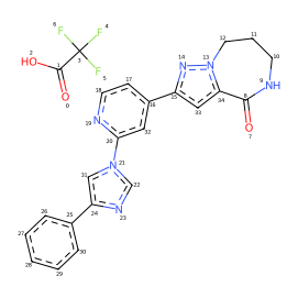 O=C(O)C(F)(F)F.O=C1NCCCn2nc(-c3ccnc(-n4cnc(-c5ccccc5)c4)c3)cc21